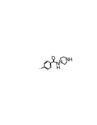 [CH2]c1ccc(C(=O)NN2CCNCC2)cc1